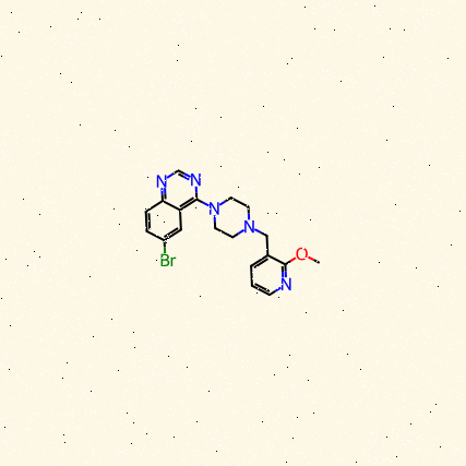 COc1ncccc1CN1CCN(c2ncnc3ccc(Br)cc23)CC1